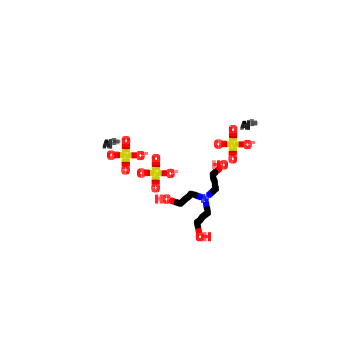 O=S(=O)([O-])[O-].O=S(=O)([O-])[O-].O=S(=O)([O-])[O-].OCCN(CCO)CCO.[Al+3].[Al+3]